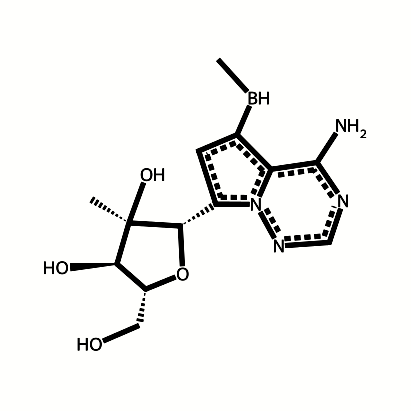 CBc1cc([C@@H]2O[C@H](CO)[C@@H](O)[C@@]2(C)O)n2ncnc(N)c12